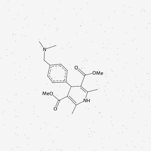 COC(=O)C1=C(C)NC(C)=C(C(=O)OC)C1c1ccc(CN(C)C)cc1